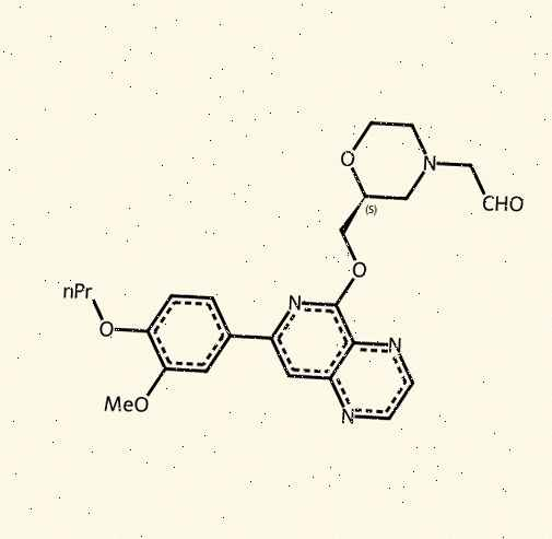 CCCOc1ccc(-c2cc3nccnc3c(OC[C@@H]3CN(CC=O)CCO3)n2)cc1OC